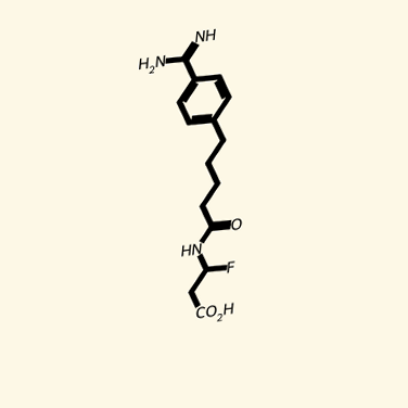 N=C(N)c1ccc(CCCCC(=O)NC(F)CC(=O)O)cc1